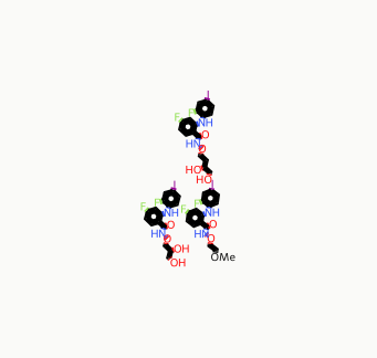 COCCONC(=O)c1ccc(F)cc1Nc1ccc(I)cc1F.O=C(NOCC(O)CO)c1ccc(F)cc1Nc1ccc(I)cc1F.O=C(NOCCC(O)CO)c1ccc(F)cc1Nc1ccc(I)cc1F